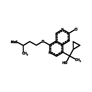 CSC(C)CCOc1ncc(C(C)(O)C2CC2)c2cc(Cl)ncc12